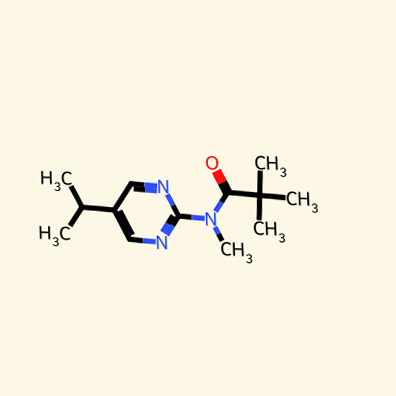 CC(C)c1cnc(N(C)C(=O)C(C)(C)C)nc1